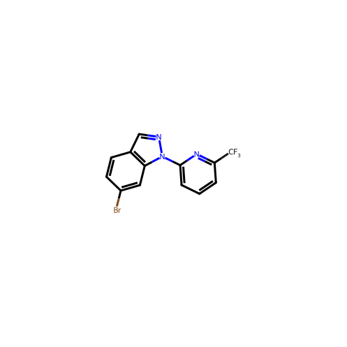 FC(F)(F)c1cccc(-n2ncc3ccc(Br)cc32)n1